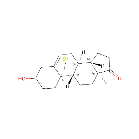 C[C@]12CC[C@H]3[C@@H](CC=C4CC(O)CC[C@@]43CS)[C@@H]1CCC2=O